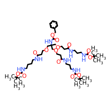 CC(C)(C)OC(=O)NCCCCNC(=O)CCOCC(COCCC(=O)NCCCNC(=O)OC(C)(C)C)(COCCC(=O)NCCCNC(=O)OC(C)(C)C)NC(=O)OCc1ccccc1